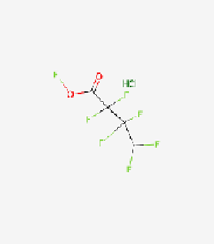 Cl.O=C(OF)C(F)(F)C(F)(F)C(F)F